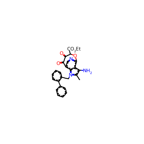 CCOC(=O)C1Oc2ncc(c3c2c(N)c(C)n3Cc2ccccc2-c2ccccc2)C(=O)C1=O